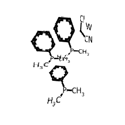 CP(C)c1ccccc1.CP(C)c1ccccc1.CP(C)c1ccccc1.N#CCCl.[W]